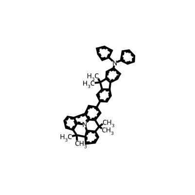 CC1(C)c2cc(-c3cc4c5c(c3)c3cccc6c3n5-c3c(cccc3C4(C)C)C6(C)C)ccc2-c2ccc(N(c3ccccc3)c3ccccc3)cc21